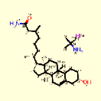 CC(CCC[C@@H](C)[C@H]1CC[C@H]2[C@@H]3CC=C4C[C@@H](O)CC[C@]4(C)[C@H]3CC[C@]12C)CC(N)=O.CCC(C)(C)N.I